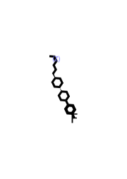 C/C=C\CCC[C@H]1CC[C@H](C2CCC(c3ccc(F)cc3)CC2)CC1